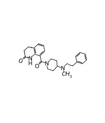 CN(CCc1ccccc1)C1CCN(C(=O)c2cccc3c2NC(=O)CC3)CC1